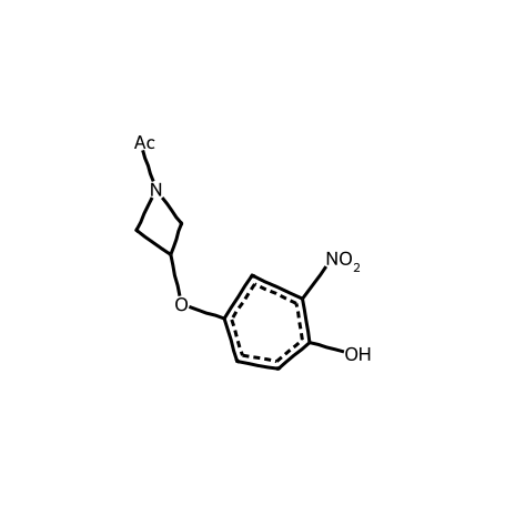 CC(=O)N1CC(Oc2ccc(O)c([N+](=O)[O-])c2)C1